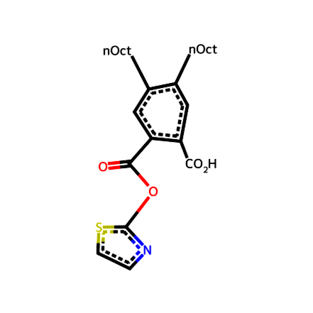 CCCCCCCCc1cc(C(=O)O)c(C(=O)Oc2nccs2)cc1CCCCCCCC